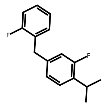 CC(C)c1ccc(Cc2ccccc2F)cc1F